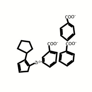 O=C([O-])c1ccccc1.O=C([O-])c1ccccc1.O=C([O-])c1ccccc1.[Zr+3][C]1=C(C2CCCC2)C=CC1